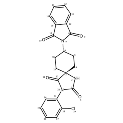 O=C1N[C@]2(CC[C@@H](N3C(=O)c4ccccc4C3=O)CC2)C(=O)N1c1ccccc1Cl